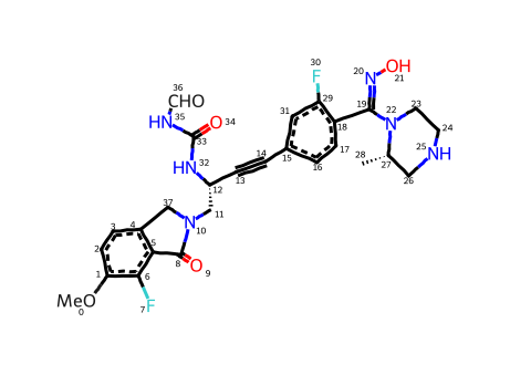 COc1ccc2c(c1F)C(=O)N(C[C@@H](C#Cc1ccc(/C(=N/O)N3CCNC[C@@H]3C)c(F)c1)NC(=O)NC=O)C2